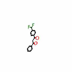 O=C(CC(=O)c1ccc(C(F)F)cc1)c1ccccc1